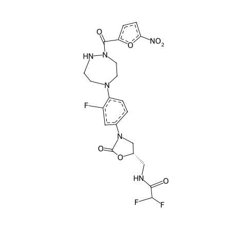 O=C(NC[C@H]1CN(c2ccc(N3CCNN(C(=O)c4ccc([N+](=O)[O-])o4)CC3)c(F)c2)C(=O)O1)C(F)F